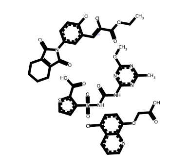 CCOC(=O)/C(Cl)=C/c1cc(N2C(=O)C3=C(CCCC3)C2=O)ccc1Cl.COc1nc(C)nc(NC(=O)NS(=O)(=O)c2ccsc2C(=O)O)n1.O=C(O)COc1ccc(Cl)c2cccnc12